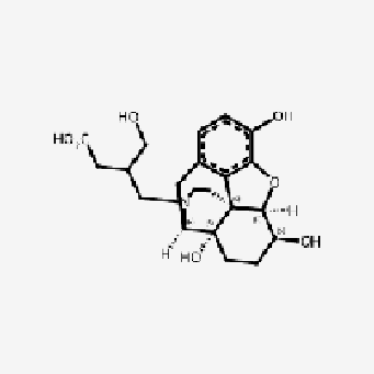 O=C(O)CC(CO)CN1CC[C@]23c4c5ccc(O)c4O[C@H]2[C@@H](O)CC[C@@]3(O)[C@H]1C5